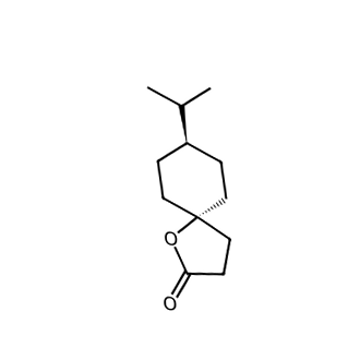 CC(C)[C@H]1CC[C@@]2(CCC(=O)O2)CC1